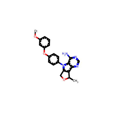 CCOc1cccc(Oc2ccc(-n3c4c(c5ncnc(N)c53)C(C)OC4)cc2)c1